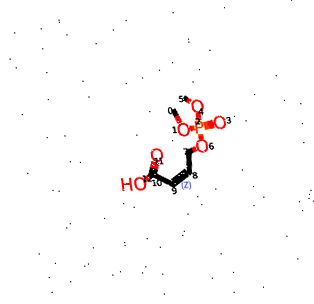 COP(=O)(OC)OC/C=C\C(=O)O